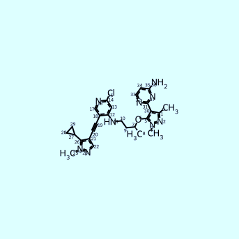 Cc1nn(C)c(O[C@@H](C)CCNc2cc(Cl)ncc2C#Cc2cnn(C)c2C2CC2)c1-c1nccc(N)n1